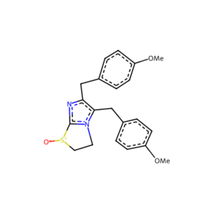 COc1ccc(Cc2nc3n(c2Cc2ccc(OC)cc2)CC[S+]3[O-])cc1